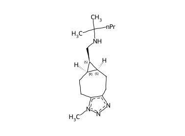 CCCC(C)(C)NC[C@@H]1[C@@H]2CCc3c(nnn3C)CC[C@@H]21